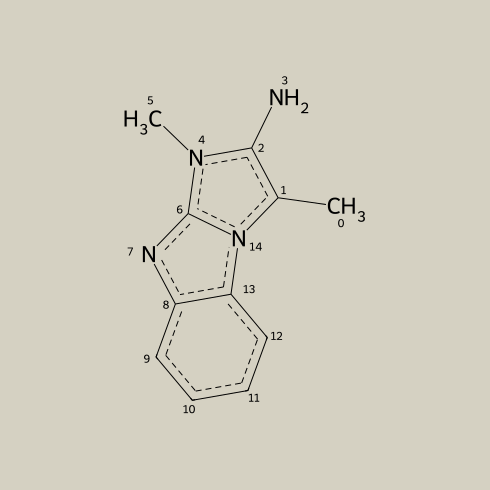 Cc1c(N)n(C)c2nc3ccccc3n12